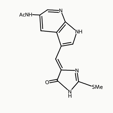 CSC1=NC(=Cc2c[nH]c3ncc(NC(C)=O)cc23)C(=O)N1